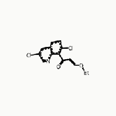 CCOC=CC(=O)c1c(Cl)ccc2cc(Cl)cnc12